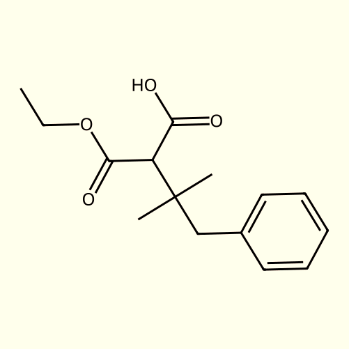 CCOC(=O)C(C(=O)O)C(C)(C)Cc1ccccc1